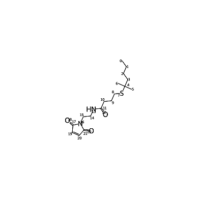 CCCCC(C)(C)SCCCC(=O)NCCN1C(=O)C=CC1=O